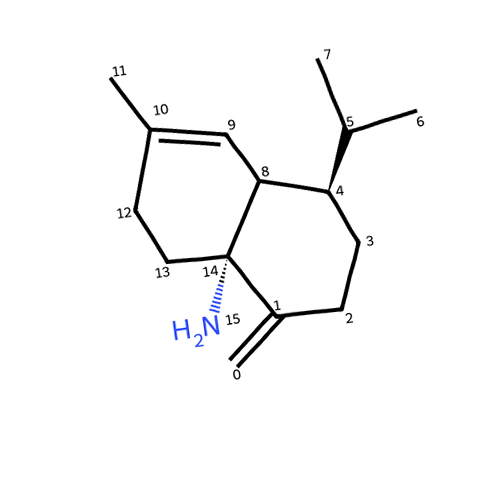 C=C1CC[C@H](C(C)C)C2C=C(C)CC[C@]12N